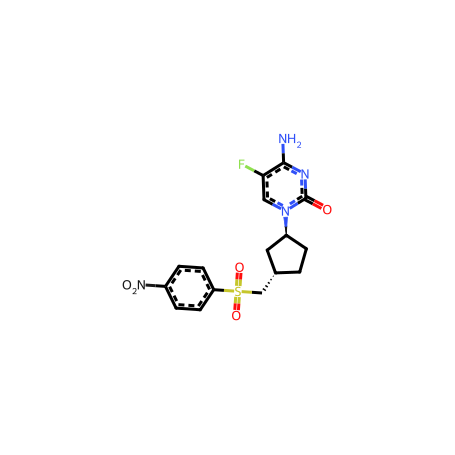 Nc1nc(=O)n([C@H]2CC[C@H](CS(=O)(=O)c3ccc([N+](=O)[O-])cc3)C2)cc1F